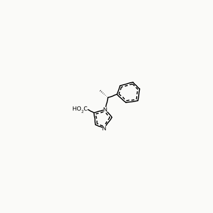 C[C@H](c1ccccc1)n1cncc1C(=O)O